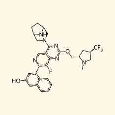 CN1C[C@H](C(F)(F)F)C[C@H]1COc1nc(N2CC3CCC(C2)N3)c2cnc(-c3cc(O)cc4ccccc34)c(F)c2n1